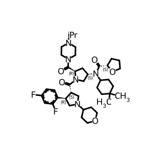 CC(C)N1CCN(C(=O)[C@H]2C[C@H](N(C(=O)[C@@H]3CCCO3)C3CCC(C)(C)CC3)CN2C(=O)[C@@H]2CN(C3CCOCC3)C[C@H]2c2ccc(F)cc2F)CC1